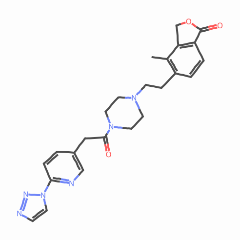 Cc1c(CCN2CCN(C(=O)Cc3ccc(-n4ccnn4)nc3)CC2)ccc2c1COC2=O